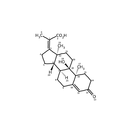 C/C(C(=O)O)=C1\CC[C@H]2[C@@H]3CCC4=CC(=O)CC[C@]4(C)[C@@]3(O)CC[C@]12C